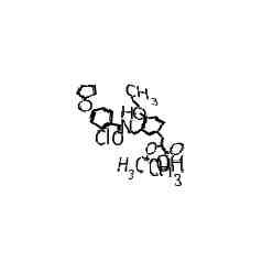 CCCOc1ccc(CC(OC(C)C)C(=O)O)cc1CNC(=O)c1ccc(OC2CCCC2)cc1Cl